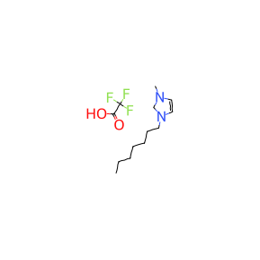 CCCCCCCN1C=CN(C)C1.O=C(O)C(F)(F)F